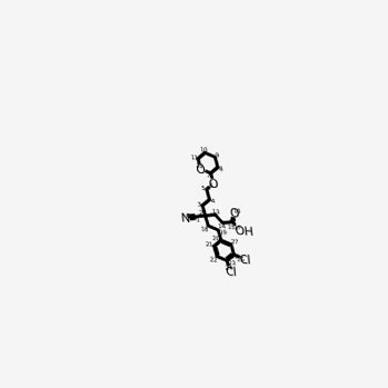 N#CC(CCCOC1CCCCO1)(CCC(=O)O)CCc1ccc(Cl)c(Cl)c1